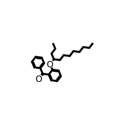 CCCCCCCCC(CCC)Oc1ccccc1C(=O)c1ccccc1